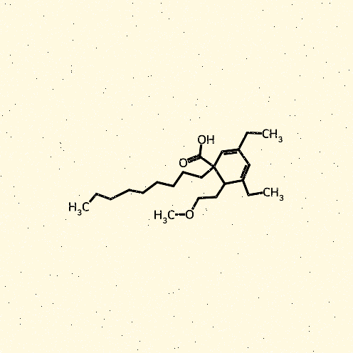 CCCCCCCCCC1(C(=O)O)C=C(CC)C=C(CC)C1CCOC